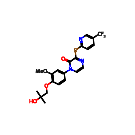 COc1cc(-n2ccnc(Sc3ccc(C(F)(F)F)cn3)c2=O)ccc1OCC(C)(C)O